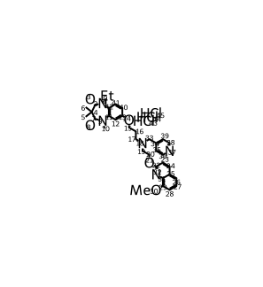 CCN1C(=O)C(C)(C)C(=O)N(C)c2cc(OCCCN(CCOc3ccc4cccc(OC)c4n3)Cc3ccncc3)ccc21.Cl.Cl.Cl